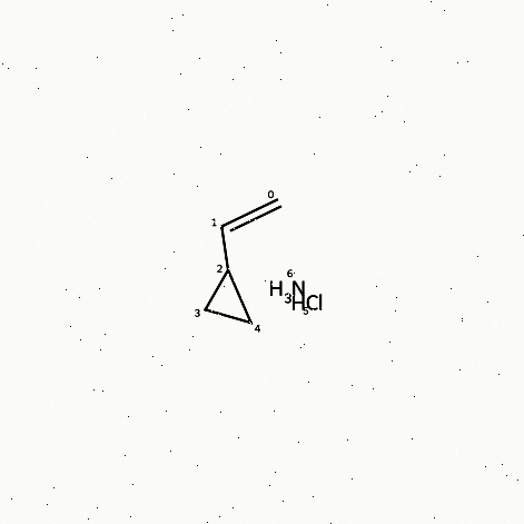 C=CC1CC1.Cl.N